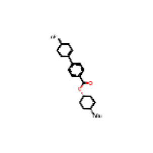 CCCC[C@H]1CC[C@H](OC(=O)c2ccc(C3=CCC(CCC)CC3)cc2)CC1